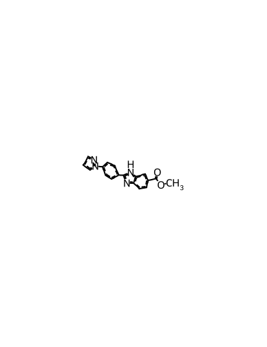 COC(=O)c1ccc2nc(-c3ccc(-n4cccn4)cc3)[nH]c2c1